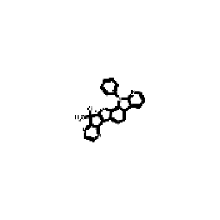 CC1(C)c2nccnc2-c2c1sc1c2ccc2c3cccnc3n(-c3ccccc3)c21